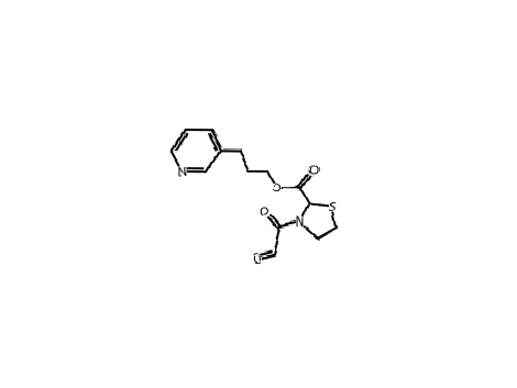 O=CC(=O)N1CCSC1C(=O)OCCCc1cccnc1